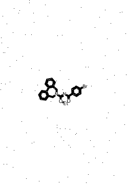 CCO/C(=N\C(=O)c1ccc(Br)cc1)N1Cc2ccccc2-c2ccccc2C1